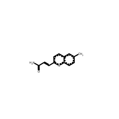 Cc1ccc2nc(C=CC(N)=O)ccc2c1